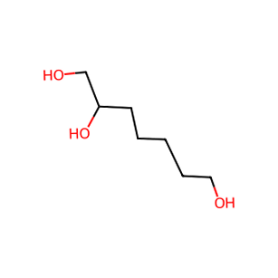 OCCCCCC(O)CO